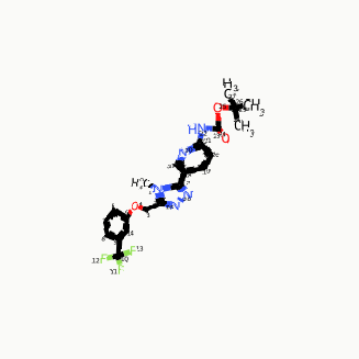 Cn1c(COc2cccc(C(F)(F)F)c2)nnc1-c1ccc(NC(=O)OC(C)(C)C)nc1